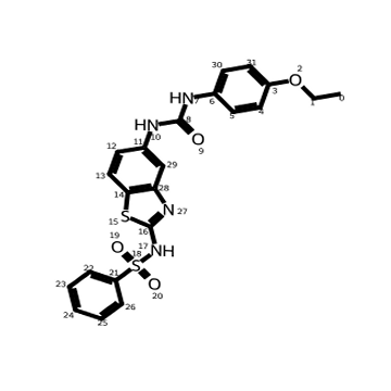 CCOc1ccc(NC(=O)Nc2ccc3sc(NS(=O)(=O)c4ccccc4)nc3c2)cc1